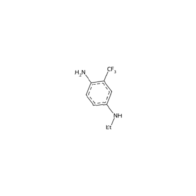 CCNc1ccc(N)c(C(F)(F)F)c1